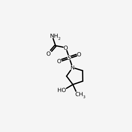 CC1(O)CCN(S(=O)(=O)OC(N)=O)C1